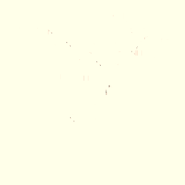 C=C[C@@H]1C[C@]1(NC(=O)[C@@H]1C[C@@H](Oc2cc(-c3ccc4c(c3)OCO4)nc3cc(OC)ccc23)CN1C(=O)[C@H](C(C)C)N1CCN(C(C)(C)C)C1=O)C(=O)O